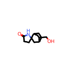 O=C1CCC2(CC3CCC2CC3CO)N1